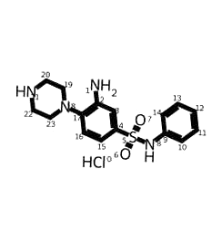 Cl.Nc1cc(S(=O)(=O)Nc2ccccc2)ccc1N1CCNCC1